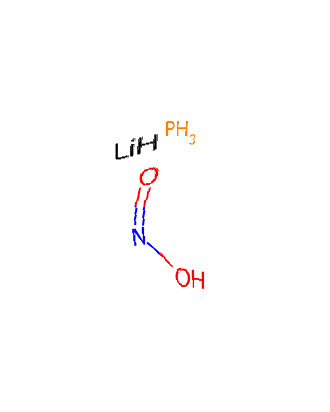 O=NO.P.[LiH]